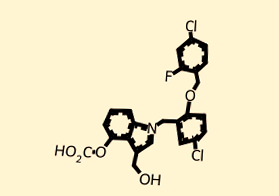 O=C(O)Oc1cccc2c1c(CO)cn2Cc1cc(Cl)ccc1OCc1ccc(Cl)cc1F